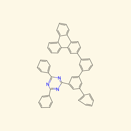 c1ccc(-c2cc(-c3cccc(-c4ccc5c6ccccc6c6ccccc6c5c4)c3)cc(-c3nc(-c4ccccc4)nc(-c4ccccc4)n3)c2)cc1